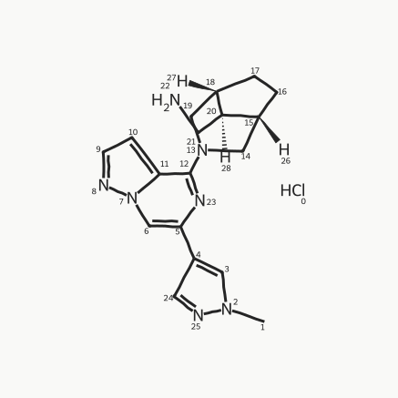 Cl.Cn1cc(-c2cn3nccc3c(N3C[C@H]4CC[C@@H](C3)[C@@H]4CN)n2)cn1